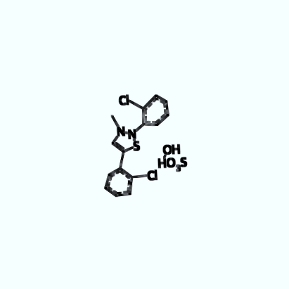 CN1C=C(c2ccccc2Cl)SN1c1ccccc1Cl.O=S(=O)(O)O